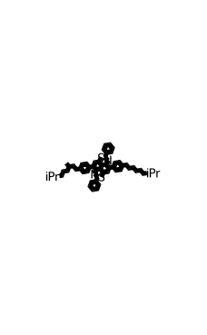 CC(C)CCCCCCc1ccc(-c2cc3c4c(c(-c5ccc(CCC(C)CCCC(C)C)cc5)cc5c4c2N=C(c2ccccc2)S5)N=C(c2ccccc2)S3)cc1